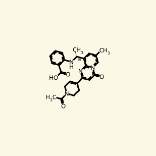 CC(=O)N1CC=C(c2cc(=O)n3cc(C)cc([C@@H](C)Nc4ccccc4C(=O)O)c3n2)CC1